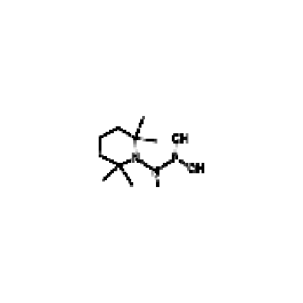 CN(N1C(C)(C)CCCC1(C)C)P(O)O